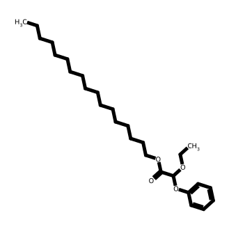 CCCCCCCCCCCCCCCCCOC(=O)C(OCC)Oc1ccccc1